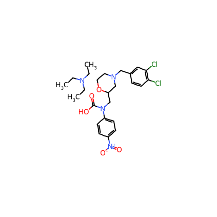 CCN(CC)CC.O=C(O)N(CC1CN(Cc2ccc(Cl)c(Cl)c2)CCO1)c1ccc([N+](=O)[O-])cc1